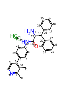 Cc1nccc(-c2ccc(NC(=O)C(N)C(c3ccccc3)c3ccccc3)cc2)c1C.Cl.Cl